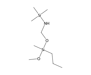 CCC[Si](C)(OC)OCN[Si](C)(C)C